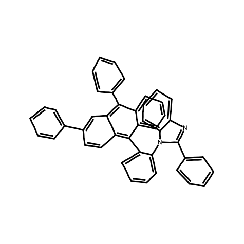 c1ccc(-c2ccc3c(-c4ccccc4-n4c(-c5ccccc5)nc5ccccc54)c4ccccc4c(-c4ccccc4)c3c2)cc1